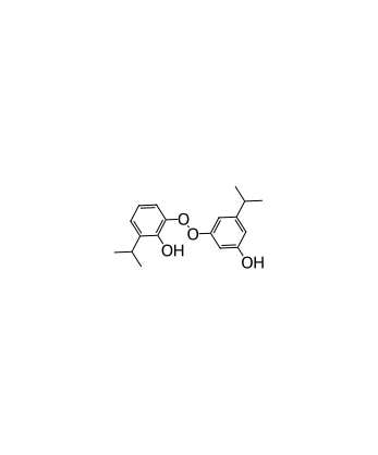 CC(C)c1cc(O)cc(OOc2cccc(C(C)C)c2O)c1